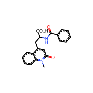 Cn1c(=O)cc(CC(NC(=O)c2ccccc2)C(=O)O)c2ccccc21